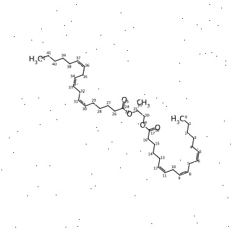 CCCCC/C=C\C/C=C\C/C=C\CCCCC(=O)OC[C@@H](C)OC(=O)CCCC/C=C\C/C=C\C/C=C\CCCCC